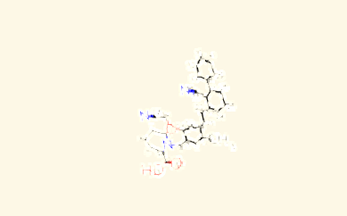 Cc1cc(CN2CCCCC2C(=O)O)c(OCC#N)cc1C=Cc1cccc(-c2ccccc2)c1C#N